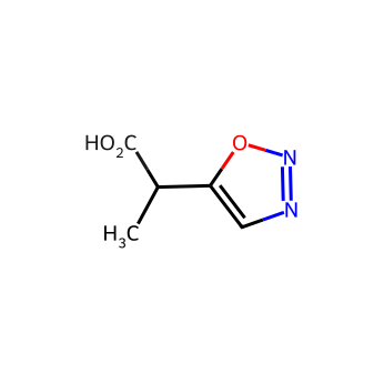 CC(C(=O)O)c1cnno1